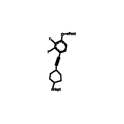 CCCCCCCC1CCC(C#Cc2ccc(OCCCCC)c(F)c2F)CC1